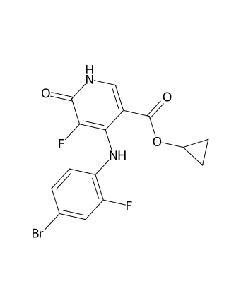 O=C(OC1CC1)c1c[nH]c(=O)c(F)c1Nc1ccc(Br)cc1F